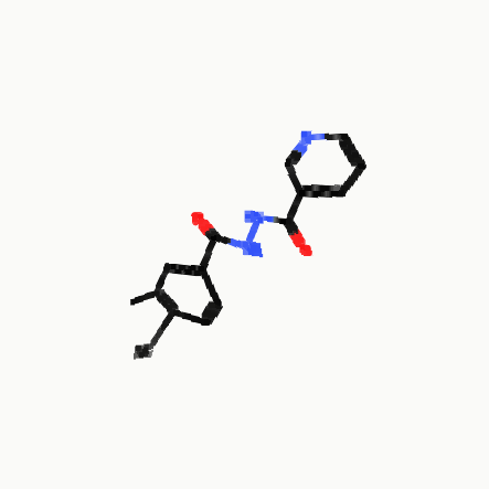 Cc1cc(C(=O)NNC(=O)c2cccnc2)ccc1C#N